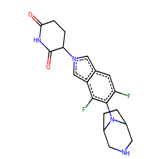 O=C1CCC(n2cc3cc(F)c(N4C5CCC4CNC5)c(F)c3c2)C(=O)N1